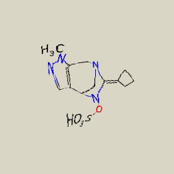 Cn1ncc2c1CN1CC2N(OS(=O)(=O)O)C1=C1CCC1